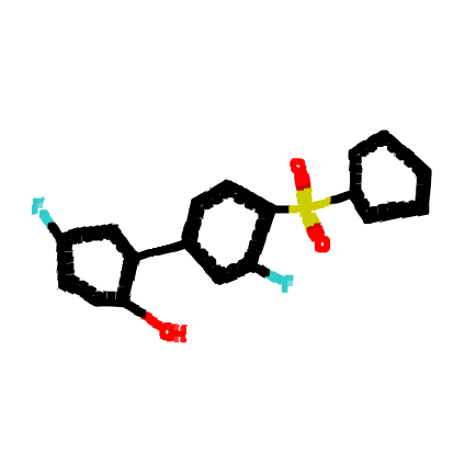 O=S(=O)(c1ccccc1)c1ccc(-c2cc(F)ccc2O)cc1F